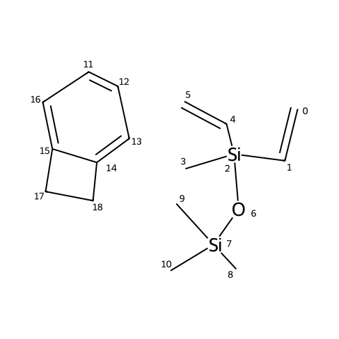 C=C[Si](C)(C=C)O[Si](C)(C)C.c1ccc2c(c1)CC2